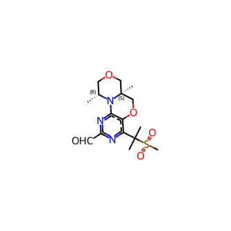 C[C@@H]1COC[C@@]2(C)COc3c(nc(C=O)nc3C(C)(C)S(C)(=O)=O)N12